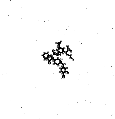 CCCCC(c1cc(NC(=O)[C@H]2c3ccccc3C(=O)N2C2CCN(Cc3ccc(Cl)c(C)c3)CC2)nc(C2CC2)c1)N(C)C